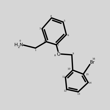 NCc1ccccc1OCc1ccccc1Br